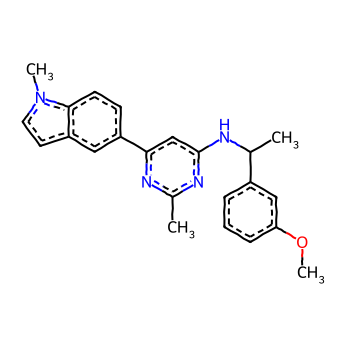 COc1cccc(C(C)Nc2cc(-c3ccc4c(ccn4C)c3)nc(C)n2)c1